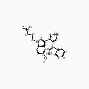 COc1ccc2c(c1)c(-c1c[nH]cc1-c1c[nH]c3ccccc13)cn2CCCN(C)C